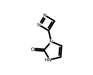 O=c1[nH]ccn1C1=CN=N1